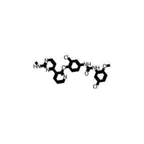 CNc1nccc(-c2cccnc2Oc2ccc(NC(=O)Nc3cc(Cl)ccc3OC)cc2Cl)n1